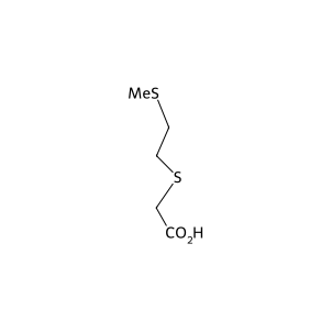 CSCCSCC(=O)O